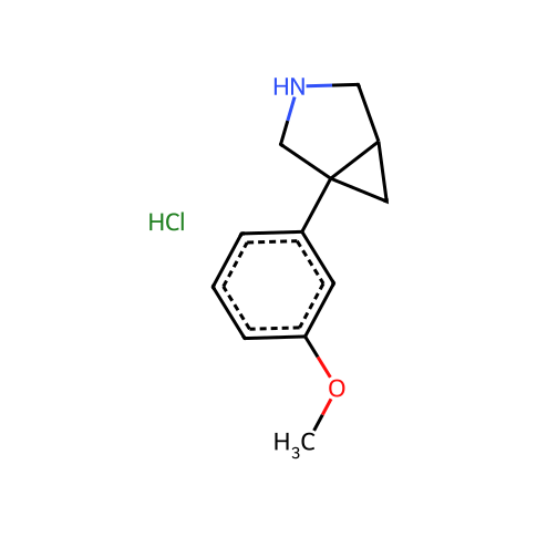 COc1cccc(C23CNCC2C3)c1.Cl